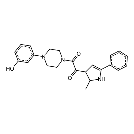 CC1NC(c2ccccc2)=CC1C(=O)C(=O)N1CCN(c2cccc(O)c2)CC1